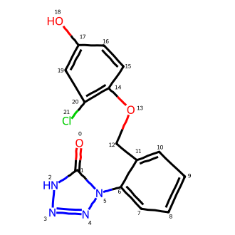 O=c1[nH]nnn1-c1ccccc1COc1ccc(O)cc1Cl